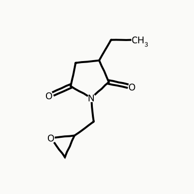 CCC1CC(=O)N(CC2CO2)C1=O